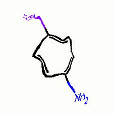 Nc1ccc([123I])cc1